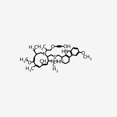 CCC1\C=C(OC)/C(C)=C\C(C)=C\C(NC)C(CSCC2NCCc3c2[nH]c2ccc(OC)cc32)N(C(C)COC#CO)C1